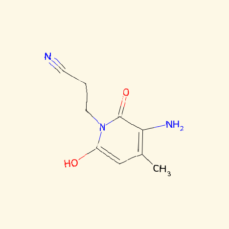 Cc1cc(O)n(CCC#N)c(=O)c1N